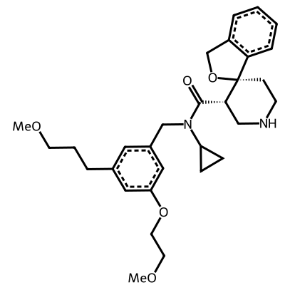 COCCCc1cc(CN(C(=O)[C@H]2CNCC[C@@]23OCc2ccccc23)C2CC2)cc(OCCOC)c1